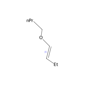 CC/C=C/OCCCC